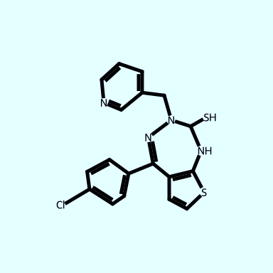 SC1Nc2sccc2C(c2ccc(Cl)cc2)=NN1Cc1cccnc1